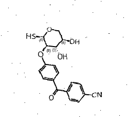 N#Cc1ccc(C(=O)c2ccc(O[C@@H]3[C@@H](O)[C@H](O)CO[C@@H]3S)cc2)cc1